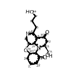 Cc1cnc(CCCO)c2c(=O)cc(CO)n(-c3c(Cl)cccc3Cl)c12